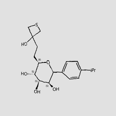 CC(C)c1ccc(C2O[C@H](CCC3(O)CSC3)[C@@H](O)[C@H](O)[C@@H]2O)cc1